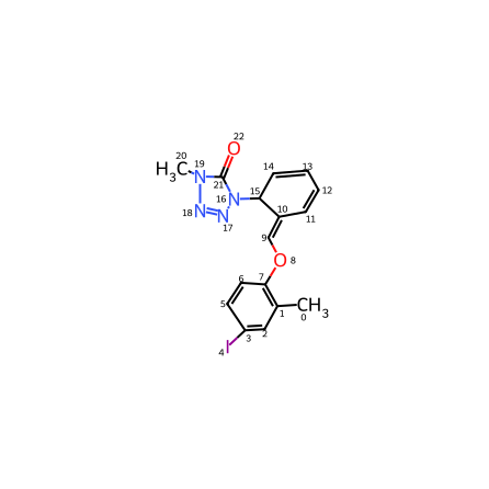 Cc1cc(I)ccc1OC=C1C=CC=CC1n1nnn(C)c1=O